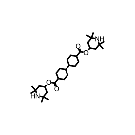 CC1(C)CC(OC(=O)C2CCC(C3CCC(C(=O)OC4CC(C)(C)NC(C)(C)C4)CC3)CC2)CC(C)(C)N1